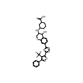 O=C(O)C1CCCC(NC2COc3cc(-c4noc(-c5onc(-c6ccccc6)c5C(F)(F)F)n4)ccc3C2O)C1